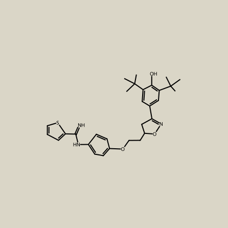 CC(C)(C)c1cc(C2=NOC(CCOc3ccc(NC(=N)c4cccs4)cc3)C2)cc(C(C)(C)C)c1O